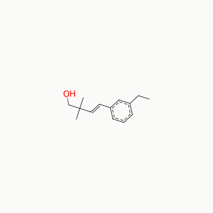 CCc1cccc(/C=C/C(C)(C)CO)c1